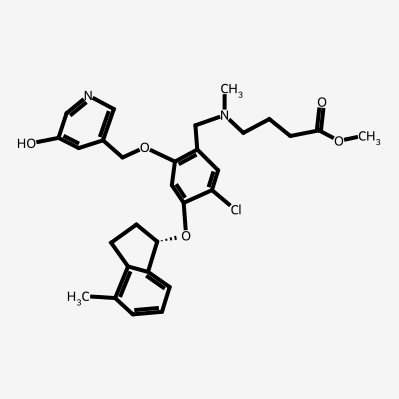 COC(=O)CCCN(C)Cc1cc(Cl)c(O[C@H]2CCc3c(C)cccc32)cc1OCc1cncc(O)c1